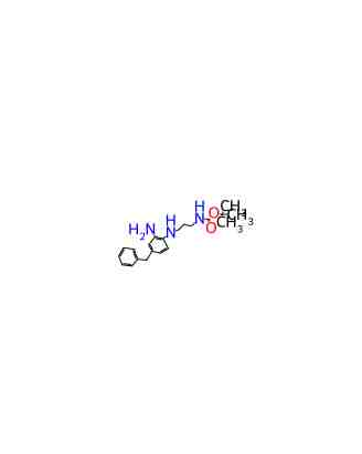 CC(C)(C)OC(=O)NCCCNc1ccc(Cc2ccccc2)cc1N